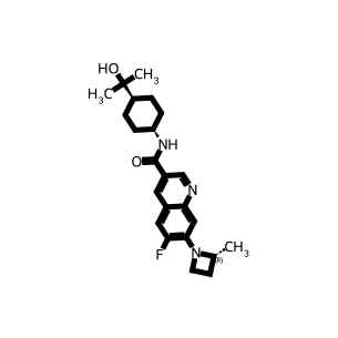 C[C@@H]1CCN1c1cc2ncc(C(=O)N[C@H]3CC[C@H](C(C)(C)O)CC3)cc2cc1F